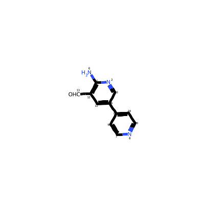 Nc1ncc(-c2ccncc2)cc1C=O